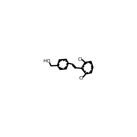 OCc1ccc(C=Cc2c(Cl)cccc2Cl)cc1